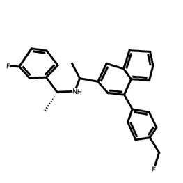 CC(N[C@H](C)c1cccc(F)c1)c1cc(-c2ccc(CF)cc2)c2ccccc2c1